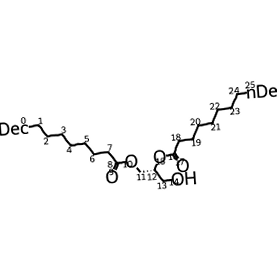 CCCCCCCCCCCCCCCCCC(=O)OC[C@@H](CO)OC(=O)CCCCCCCCCCCCCCCCC